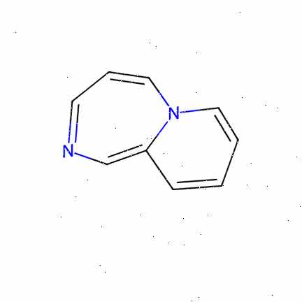 C1=CC2=CN=CC=CN2C=C1